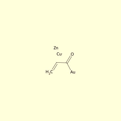 C=C[C](=O)[Au].[Cu].[Zn]